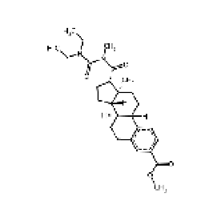 CCN(CC)C(=O)N(C)C(=O)[C@H]1CC[C@H]2[C@@H]3CCc4cc(C(=O)OC)ccc4[C@H]3CC[C@]12C